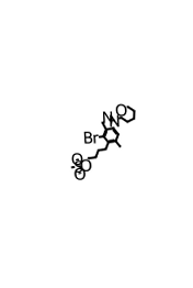 Cc1cc2c(cnn2C2CCCCO2)c(Br)c1CCCCOS(C)(=O)=O